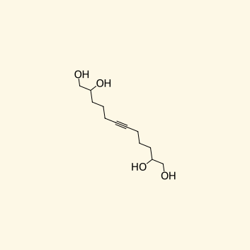 OCC(O)CCCC#CCCCC(O)CO